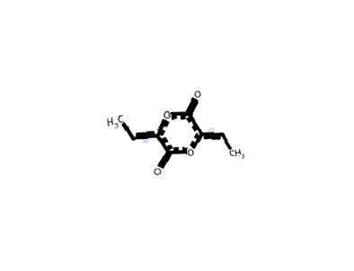 C/C=c1\oc(=O)/c(=C/C)oc1=O